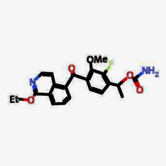 CCOc1nccc2c(C(=O)c3ccc(C(C)OC(N)=O)c(F)c3OC)cccc12